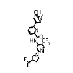 Cn1cc(-c2cccc(C(=O)Nc3cc(N4CCC(C(F)F)C4)ncc3C(F)(F)F)n2)cn1